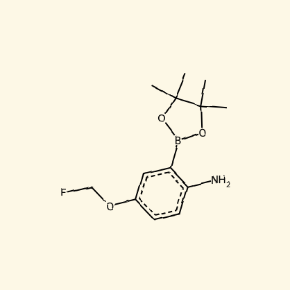 CC1(C)OB(c2cc(OCF)ccc2N)OC1(C)C